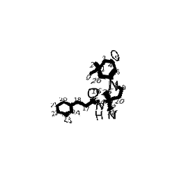 CC1(C)CC(=O)C=C(N2CCC(C#N)(NC(=O)CCC3CCCCC3)C2)C1